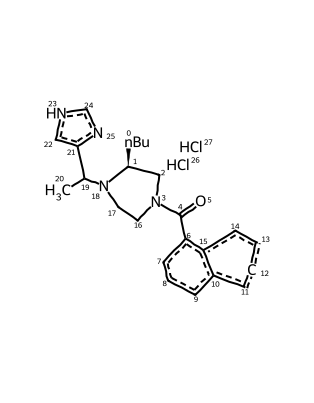 CCCC[C@H]1CN(C(=O)c2cccc3ccccc23)CCN1C(C)c1c[nH]cn1.Cl.Cl